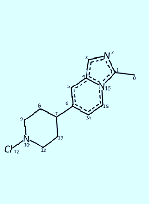 Cc1ncc2cc(C3CCN(Cl)CC3)ccn12